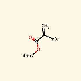 C=C(CCCC)C(=O)OCCCCC